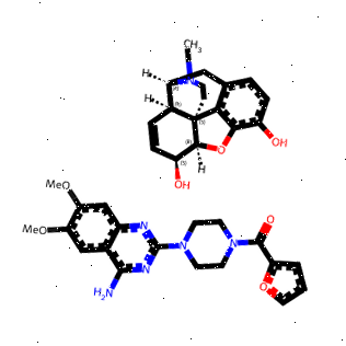 CN1CC[C@]23c4c5ccc(O)c4O[C@H]2[C@@H](O)C=C[C@H]3[C@H]1C5.COc1cc2nc(N3CCN(C(=O)c4ccco4)CC3)nc(N)c2cc1OC